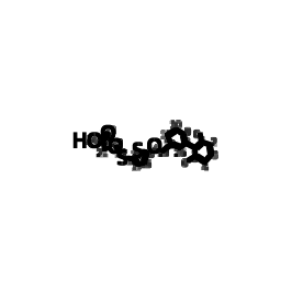 Cc1cccc(C)c1-c1cccc(COc2ccc(SOCC(=O)O)s2)c1